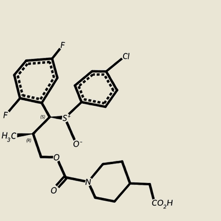 C[C@H](COC(=O)N1CCC(CC(=O)O)CC1)[C@@H](c1cc(F)ccc1F)[S+]([O-])c1ccc(Cl)cc1